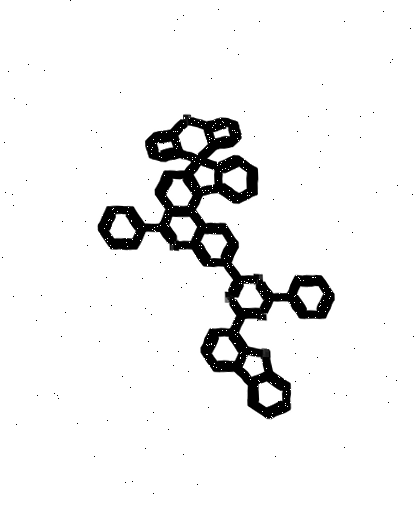 c1ccc(-c2nc(-c3ccc4c(c3)nc(-c3ccccc3)c3ccc5c(c34)-c3ccccc3C53c4ccccc4Sc4ccccc43)nc(-c3cccc4c3oc3ccccc34)n2)cc1